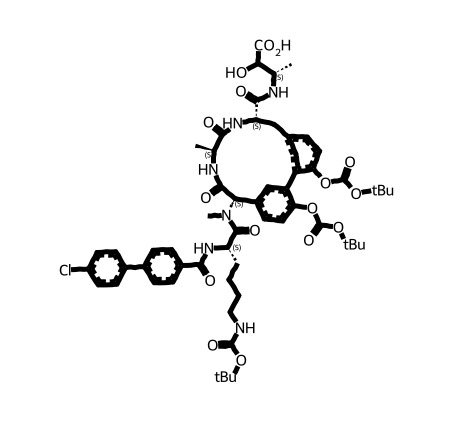 C[C@@H]1NC(=O)[C@@H](N(C)C(=O)[C@H](CCCCNC(=O)OC(C)(C)C)NC(=O)c2ccc(-c3ccc(Cl)cc3)cc2)c2ccc(OC(=O)OC(C)(C)C)c(c2)-c2cc(ccc2OC(=O)OC(C)(C)C)C[C@@H](C(=O)N[C@@H](C)C(O)C(=O)O)NC1=O